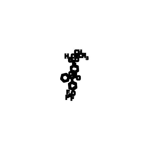 CC(C)(C)OC(=O)N1CCN(C(=O)C(c2ccc(OC(F)(F)F)cc2)C2(O)CCCCC2)CC1